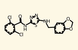 O=C(Nc1nnc(NCc2ccc3c(c2)OCO3)s1)c1c(Cl)cccc1Cl